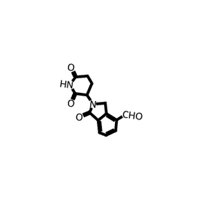 O=Cc1cccc2c1CN(C1CCC(=O)NC1=O)C2=O